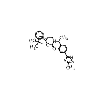 Cc1nnc(-c2ccc([C@H](C)N3CC[C@](CC(C)(C)O)(c4ccccc4)OC3=O)cc2)s1